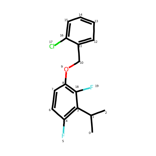 CC(C)c1c(F)ccc(OCc2ccccc2Cl)c1F